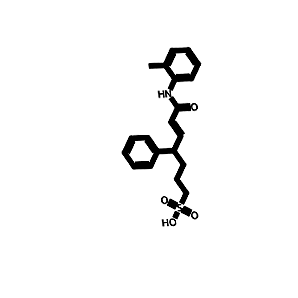 Cc1ccccc1NC(=O)C=CC(CCCS(=O)(=O)O)c1ccccc1